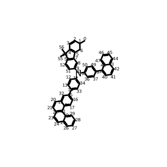 CC1C=CC2=C(C1)c1cc(N(c3ccc(-c4ccc5c(ccc6ccc7ccccc7c65)c4)cc3)c3ccc(-c4cccc5ccccc45)cc3)ccc1C2(C)C